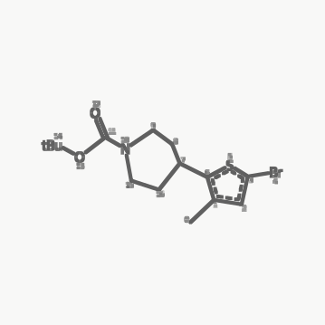 Cc1cc(Br)sc1C1CCN(C(=O)OC(C)(C)C)CC1